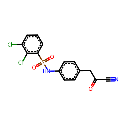 N#CC(=O)Cc1ccc(NS(=O)(=O)c2cccc(Cl)c2Cl)cc1